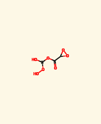 O=C(OB(O)OO)C1OO1